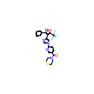 O=C(c1ccc(-n2cnc(-c3c(-c4ccccc4)noc3C(F)(F)F)c2)nc1)N1CCSCC1